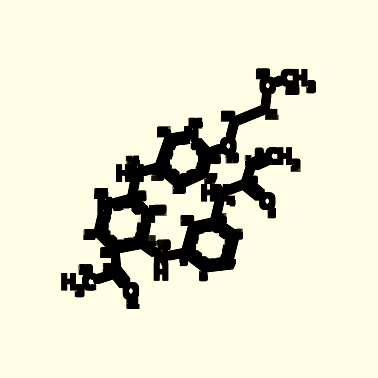 C=CC(=O)Nc1cccc(Nc2nc(Nc3ccc(OCCOC)nc3)ncc2C(C)=O)c1